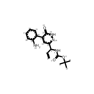 C=CC(NC(=O)OC(C)(C)C)c1cc(-c2ccccc2N)c(=O)[nH]n1